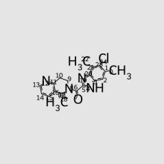 Cc1cc2[nH]c(C(=O)N3CCc4ncccc4[C@H]3C)nc2c(C)c1Cl